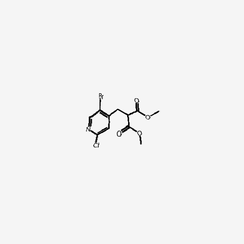 COC(=O)C(Cc1cc(Cl)ncc1Br)C(=O)OC